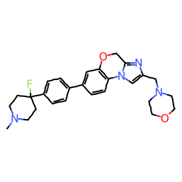 CN1CCC(F)(c2ccc(-c3ccc4c(c3)OCc3nc(CN5CCOCC5)cn3-4)cc2)CC1